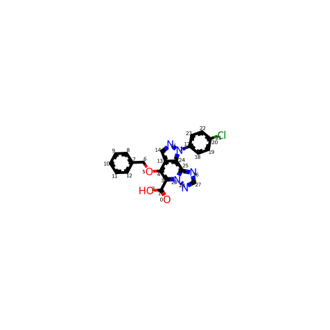 O=C(O)c1c(OCc2ccccc2)c2cnn(-c3ccc(Cl)cc3)c2c2ncnn12